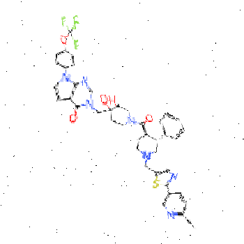 Cc1ccc(-c2ncc(CN3CC[C@@H](C(=O)N4CCC(O)(Cn5cnc6c(ccn6-c6ccc(OC(F)(F)F)cc6)c5=O)CC4)[C@H](c4ccccc4)C3)s2)cn1